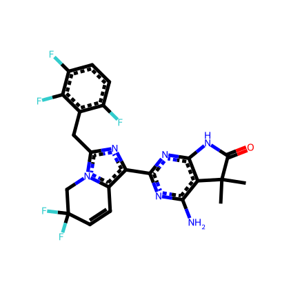 CC1(C)C(=O)Nc2nc(-c3nc(Cc4c(F)ccc(F)c4F)n4c3C=CC(F)(F)C4)nc(N)c21